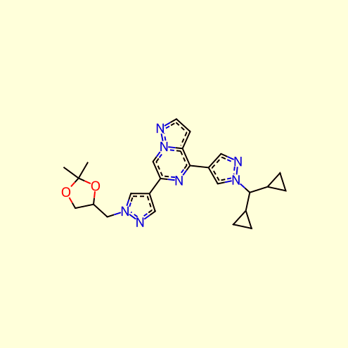 CC1(C)OCC(Cn2cc(-c3cn4nccc4c(-c4cnn(C(C5CC5)C5CC5)c4)n3)cn2)O1